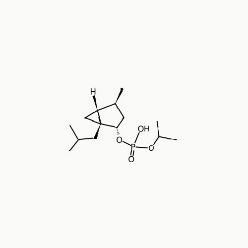 CC(C)C[C@@]12C[C@@H]1[C@@H](C)C[C@@H]2OP(=O)(O)OC(C)C